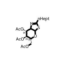 CCCCCCCC1=NC2C(O[C@H](COC(C)=O)[C@@H](OC(C)=O)[C@@H]2OC(C)=O)S1